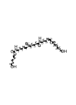 O=C(NCSC/N=C/[S+]([O-])CSCSC(=O)NCSC/N=C\OOCSCSCO)OCSCSCO